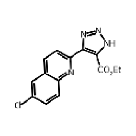 CCOC(=O)c1[nH]nnc1-c1ccc2cc(Cl)ccc2n1